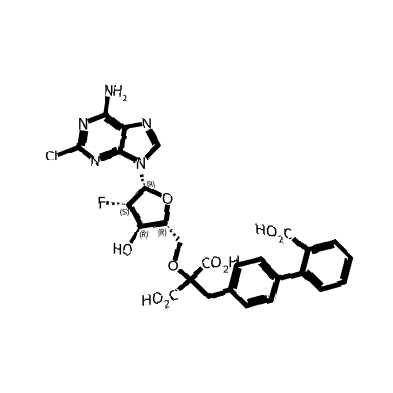 Nc1nc(Cl)nc2c1ncn2[C@@H]1O[C@H](COC(Cc2ccc(-c3ccccc3C(=O)O)cc2)(C(=O)O)C(=O)O)[C@@H](O)[C@@H]1F